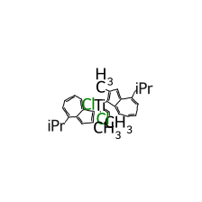 C[CH]=[Ti]([Cl])([Cl])([c]1c(C)cc2c(C(C)C)ccccc1-2)[c]1c(C)cc2c(C(C)C)ccccc1-2